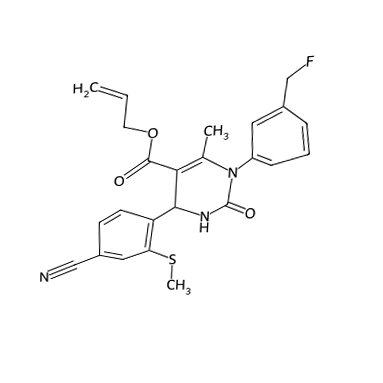 C=CCOC(=O)C1=C(C)N(c2cccc(CF)c2)C(=O)NC1c1ccc(C#N)cc1SC